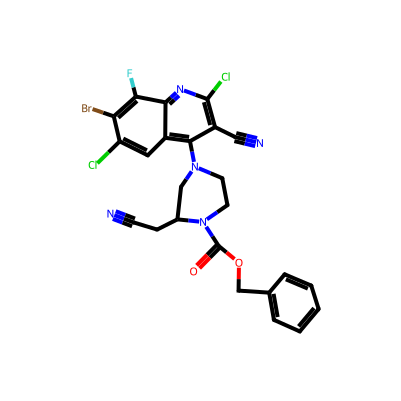 N#CCC1CN(c2c(C#N)c(Cl)nc3c(F)c(Br)c(Cl)cc23)CCN1C(=O)OCc1ccccc1